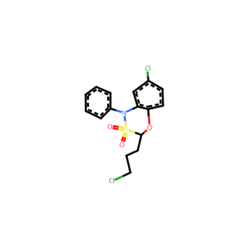 O=S1(=O)C(CCCCl)Oc2ccc(Cl)cc2N1c1ccccc1